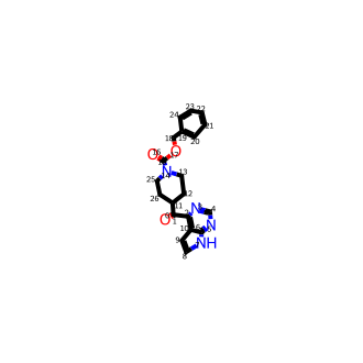 O=C(c1ncnc2[nH]ccc12)C1CCN(C(=O)OCc2ccccc2)CC1